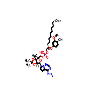 CCCCCCCCCCCCCCCCCCC[C@H](COP(=O)(O)OC[C@@]1(C)O[C@@H](c2ccc3c(N)ncnn23)[C@@H]2OC(C)(C)O[C@@H]21)Oc1ccc(C#N)c(OC(C)C)c1